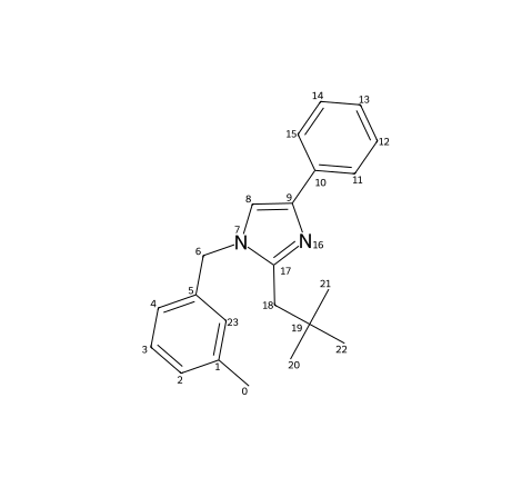 Cc1cccc(Cn2cc(-c3ccccc3)nc2CC(C)(C)C)c1